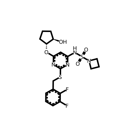 O=S(=O)(Nc1cc(O[C@@H]2CCC[C@H]2O)nc(SCc2cccc(F)c2F)n1)N1CCC1